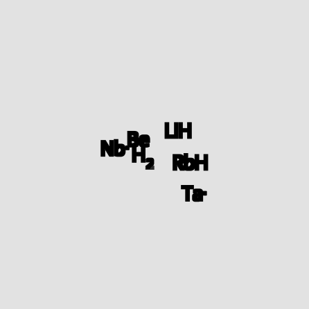 [BeH2].[LiH].[Nb].[RbH].[Ta]